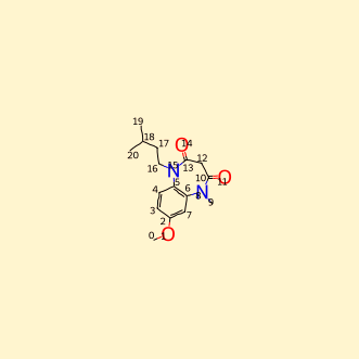 COc1ccc2c(c1)N(C)C(=O)CC(=O)N2CCC(C)C